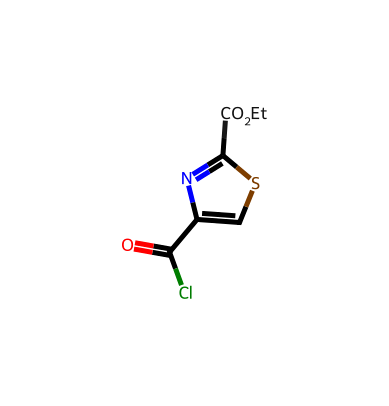 CCOC(=O)c1nc(C(=O)Cl)cs1